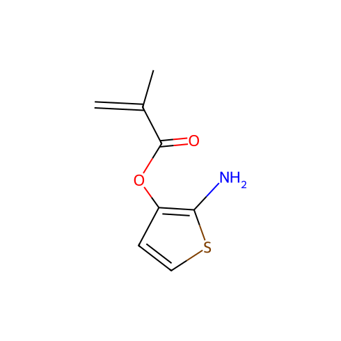 C=C(C)C(=O)Oc1ccsc1N